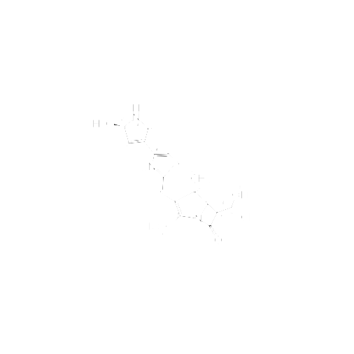 C[C@@H]1C=C(c2csc(SC3=C(C(=O)O)N4C(=O)C([C@@H](C)O)C4[C@H]3C)n2)CN1